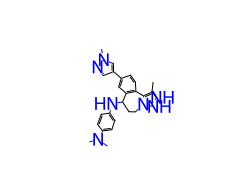 CC1=C2c3ccc(-c4cnn(C)c4)cc3C(Nc3ccc(N(C)C)cc3)CCN2NN1